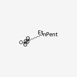 CCCCCC(CC)CCCCCCCCCC(=O)OOC(=O)c1ccccc1